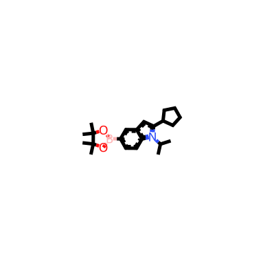 CC(C)n1c(C2CCCC2)cc2cc(B3OC(C)(C)C(C)(C)O3)ccc21